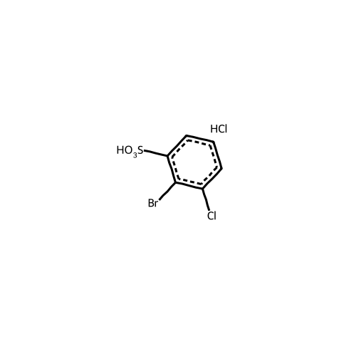 Cl.O=S(=O)(O)c1cccc(Cl)c1Br